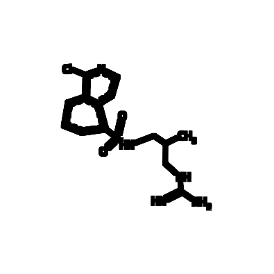 CC(CNC(=N)N)CNS(=O)(=O)c1cccc2c(Cl)nccc12